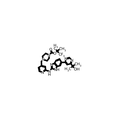 CC(C)(O)c1cc(-c2ccc3nc(Nc4cc(CN5CCN(C(=O)OC(C)(C)C(F)(F)F)CC5)ccn4)[nH]c3c2)ncn1